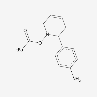 CC(C)(C)C(=O)ON1CC=CCC1c1ccc(N)cc1